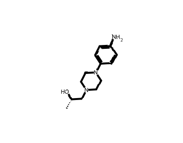 C[C@H](O)CN1CCN(c2ccc(N)cc2)CC1